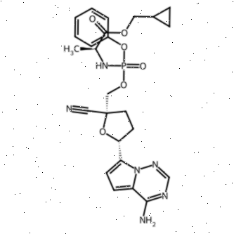 C[C@H](NP(=O)(OC[C@]1(C#N)CC[C@H](c2ccc3c(N)ncnn23)O1)Oc1ccccc1)C(=O)OCC1CC1